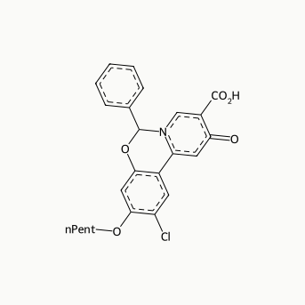 CCCCCOc1cc2c(cc1Cl)-c1cc(=O)c(C(=O)O)cn1C(c1ccccc1)O2